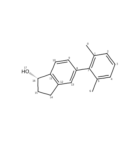 Cc1cccc(C)c1-c1ccc2c(c1)CC[C@@H]2O